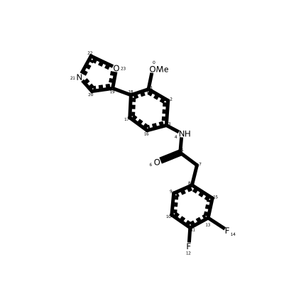 COc1cc(NC(=O)Cc2ccc(F)c(F)c2)ccc1-c1cnco1